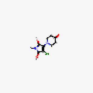 CN1C(=O)C(Br)=C(N2CCC(=O)CC2)C1=O